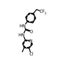 Cc1cc(NC(=O)Nc2ccc(CC(F)(F)F)cc2)ncc1Cl